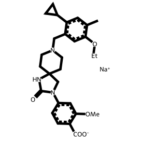 CCOc1cc(CN2CCC3(CC2)CN(c2ccc(C(=O)[O-])c(OC)c2)C(=O)N3)c(C2CC2)cc1C.[Na+]